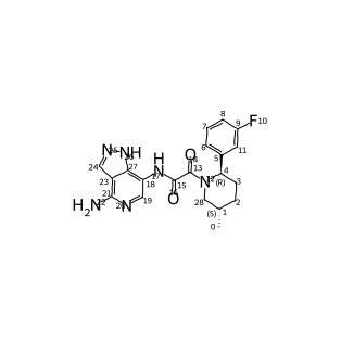 C[C@H]1CC[C@H](c2cccc(F)c2)N(C(=O)C(=O)Nc2cnc(N)c3cn[nH]c23)C1